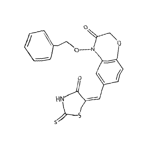 O=C1NC(=S)SC1=Cc1ccc2c(c1)N(OCc1ccccc1)C(=O)CO2